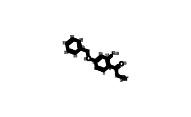 O=C(CBr)c1ccc(OCc2ccccc2)cc1F